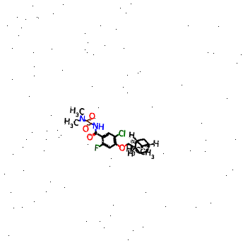 CN(C)S(=O)(=O)NC(=O)c1cc(Cl)c(OC[C@@H]2CC[C@H]3C[C@@H]2C3(C)C)cc1F